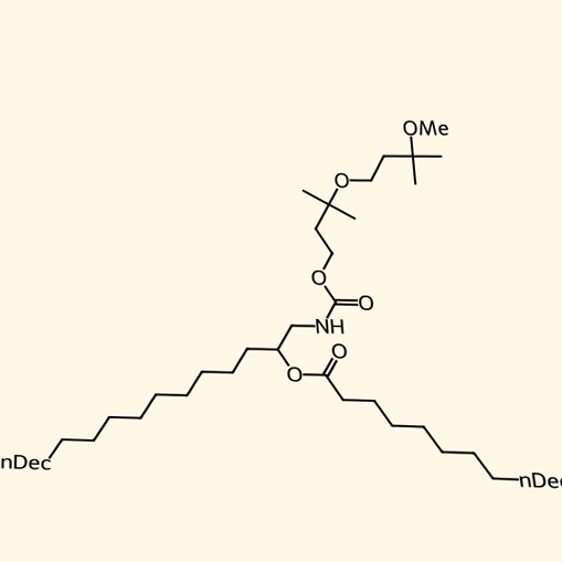 CCCCCCCCCCCCCCCCCCCC(CNC(=O)OCCC(C)(C)OCCC(C)(C)OC)OC(=O)CCCCCCCCCCCCCCCCC